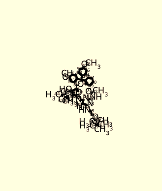 COc1ccc(C(OC[C@H]2O[C@@H](n3cnc4c(NCCO[Si](C)(C)C(C)(C)C)nc(NC(C)=O)nc43)[C@H](O[Si](C)(C)C(C)(C)C)[C@@H]2O)(c2ccccc2)c2ccc(OC)cc2)cc1